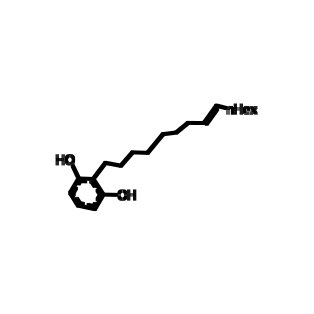 CCCCCCC=CCCCCCCCc1c(O)cccc1O